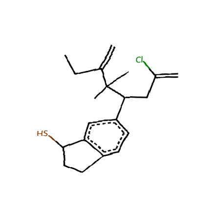 C=C(Cl)CC(c1ccc2c(c1)C(S)CC2)C(C)(C)C(=C)CC